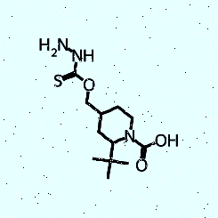 CC(C)(C)C1CC(COC(=S)NN)CCN1C(=O)O